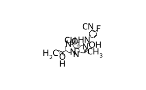 C=C[C@@H](O)C1CN(C)C(=O)c2c3c(nn2C1)C[C@@H](C)N(C(O)Nc1ccc(F)c(C#N)c1)C3